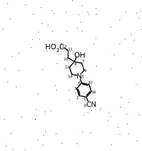 N#Cc1ccc(N2CCC(O)(CCC(=O)O)CC2)cc1